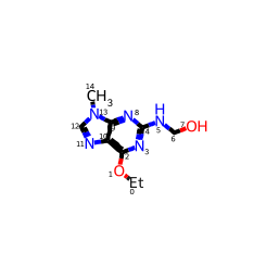 CCOc1nc(NCO)nc2c1ncn2C